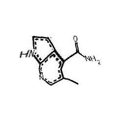 Cc1cnc2[nH]c[c]c2c1C(N)=O